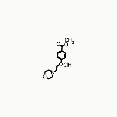 COC(=O)c1ccc(OCCN2CCOCC2)cc1.Cl